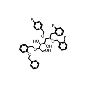 OC[C@@H](OCc1ccccc1OCc1ccccc1)[C@@H](O)[C@H](O)[C@H](OCc1ccc(F)cc1)C(Cc1ccccc1F)OCc1ccccc1F